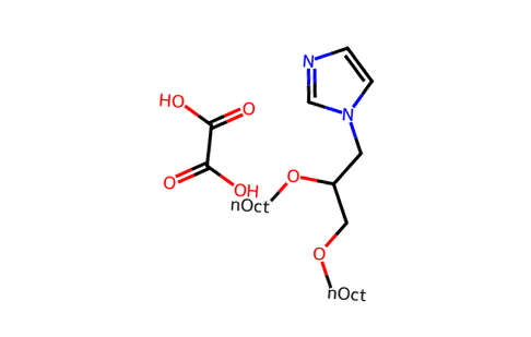 CCCCCCCCOCC(Cn1ccnc1)OCCCCCCCC.O=C(O)C(=O)O